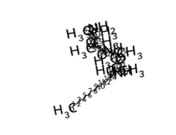 CCCCCCCCCCCCCCCC(=O)NC(C)(C)CCOC(C)(C)CCNC(=O)CCC(C)(C)OCCC(C)(C)N